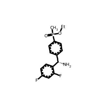 CCOP(C)(=O)c1ccc([C@H](N)c2ccc(F)cc2F)cc1